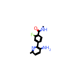 CNC(=O)c1ccc(-c2nc(C)ccc2N)cc1F